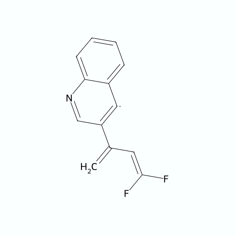 C=C(C=C(F)F)c1[c]c2ccccc2nc1